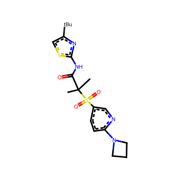 CC(C)(C)c1csc(NC(=O)C(C)(C)S(=O)(=O)c2ccc(N3CCC3)nc2)n1